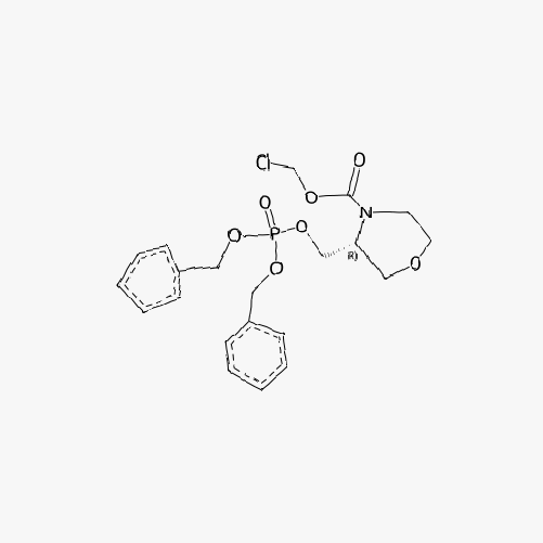 O=C(OCCl)N1CCOC[C@@H]1COP(=O)(OCc1ccccc1)OCc1ccccc1